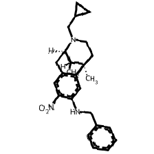 C[C@@H]1[C@H]2Cc3cc([N+](=O)[O-])c(NCc4ccccc4)cc3[C@]1(C)CCN2CC1CC1